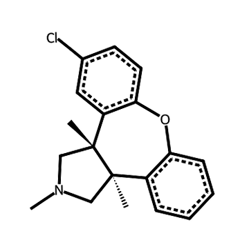 CN1C[C@]2(C)c3ccccc3Oc3ccc(Cl)cc3[C@@]2(C)C1